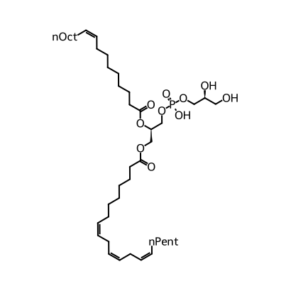 CCCCC/C=C\C/C=C\C/C=C\CCCCCCC(=O)OC[C@H](COP(=O)(O)OC[C@@H](O)CO)OC(=O)CCCCCCC/C=C\CCCCCCCC